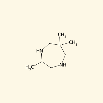 CC1CNCC(C)(C)CN1